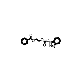 O=C(OCCOC(=O)c1ccccc1)On1nnc2ccccc21